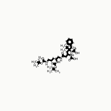 CC(C)(C)OC(=O)NCCC[C@@H](CNC(=O)CC(CC(Cc1ccccc1)(NC(=O)O)C(C)(C)C)NC(=O)O)NC(=O)OC(C)(C)C